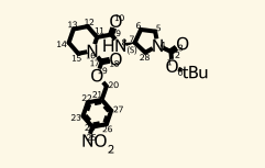 CC(C)(C)OC(=O)N1CC[C@H](NC(=O)C2CCCCN2C(=O)OCc2ccc([N+](=O)[O-])cc2)C1